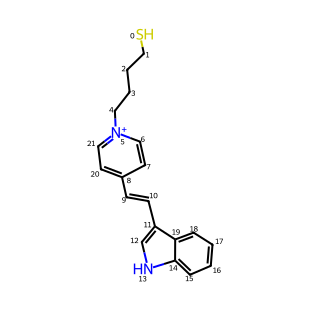 SCCCC[n+]1ccc(/C=C/c2c[nH]c3ccccc23)cc1